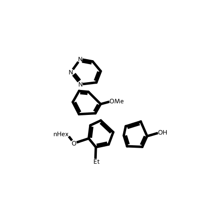 CCCCCCOc1ccccc1CC.COc1ccccc1.Oc1ccccc1.c1cnnnc1